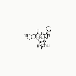 COc1cc2c(cc1Nc1ncc3cnn(C4CCCCC4)c3n1)CN(C)CC2.O=C(O)C(F)(F)F